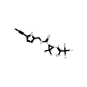 CC#Cc1ccc(COC(=O)[C@@H]2[C@H](/C=C(\Cl)C(F)(F)F)C2(C)C)o1